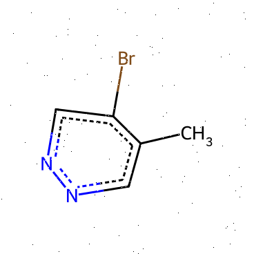 Cc1cnncc1Br